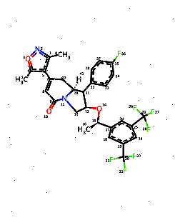 Cc1noc(C)c1C1=CC(=O)N2C[C@H](O[C@H](C)c3cc(C(F)(F)F)cc(C(F)(F)F)c3)C(c3ccc(F)cc3)[C@@H]2C1